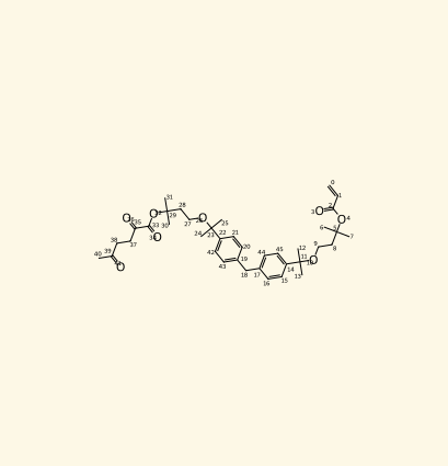 C=CC(=O)OC(C)(C)CCOC(C)(C)c1ccc(Cc2ccc(C(C)(C)OCCC(C)(C)OC(=O)C(=O)CCC(C)=O)cc2)cc1